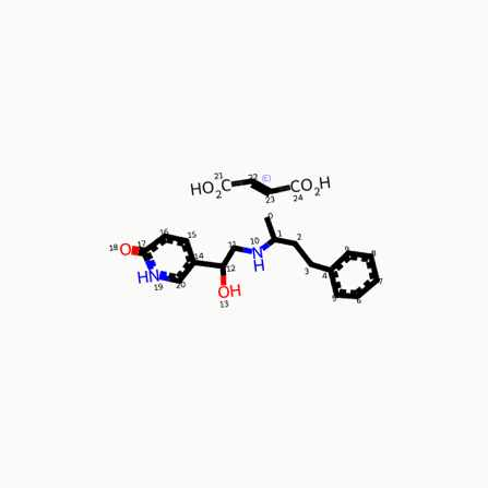 CC(CCc1ccccc1)NCC(O)c1ccc(=O)[nH]c1.O=C(O)/C=C/C(=O)O